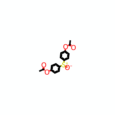 CC(=O)Oc1ccc([S+]([O-])c2ccc(OC(C)=O)cc2)cc1